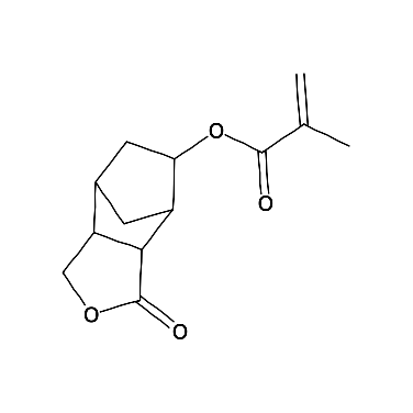 C=C(C)C(=O)OC1CC2CC1C1C(=O)OCC21